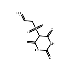 C=CCS(=O)(=O)C1C(=O)NC(=O)NC1=O